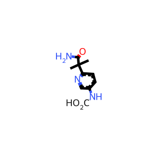 CC(C)(C(N)=O)c1ccc(NC(=O)O)cn1